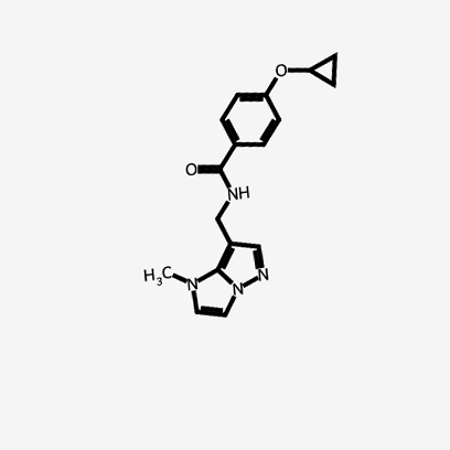 Cn1ccn2ncc(CNC(=O)c3ccc(OC4CC4)cc3)c12